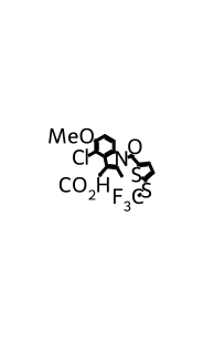 COc1ccc2c(c1Cl)c(CC(=O)O)c(C)n2C(=O)c1ccc(SC(F)(F)F)s1